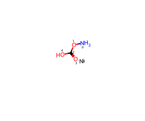 NOC(=O)O.[Ni]